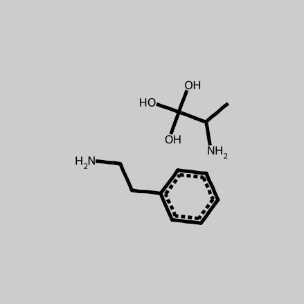 CC(N)C(O)(O)O.NCCc1ccccc1